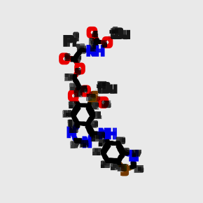 CC(C)[C@H](NC(=O)OC(C)(C)C)C(=O)OCCOc1cc2ncnc(Nc3ccc4scnc4c3)c2cc1S(=O)(=O)C(C)(C)C